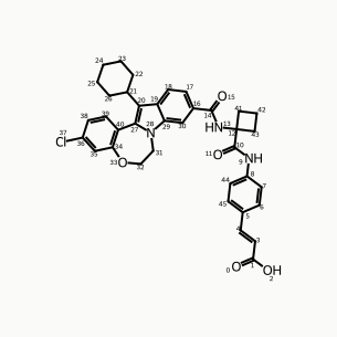 O=C(O)C=Cc1ccc(NC(=O)C2(NC(=O)c3ccc4c(C5CCCCC5)c5n(c4c3)CCOc3cc(Cl)ccc3-5)CCC2)cc1